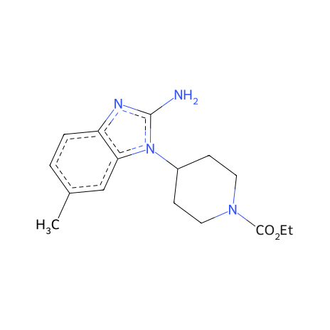 CCOC(=O)N1CCC(n2c(N)nc3ccc(C)cc32)CC1